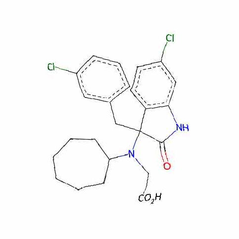 O=C(O)CN(C1CCCCCC1)C1(Cc2cccc(Cl)c2)C(=O)Nc2cc(Cl)ccc21